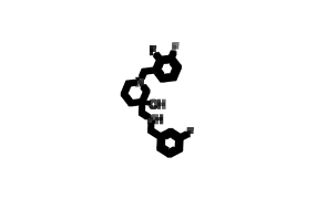 O[C@@]1(CNCc2cccc(F)c2)CCCN(Cc2cccc(F)c2F)C1